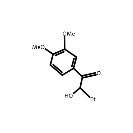 CCC(O)C(=O)c1ccc(OC)c(OC)c1